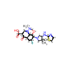 CN1COc2c(N3C[C@@H](Nc4nccs4)C(C)(C)C3)c(F)cc3c(=O)c(C(=O)O)cn1c23